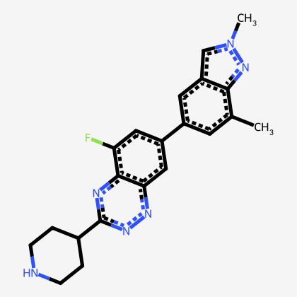 Cc1cc(-c2cc(F)c3nc(C4CCNCC4)nnc3c2)cc2cn(C)nc12